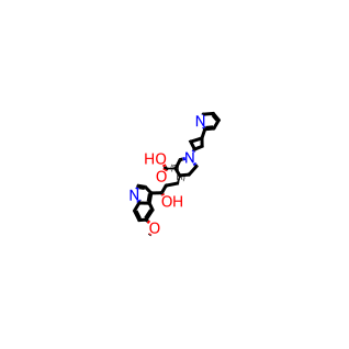 COc1ccc2nccc(C(O)CC[C@@H]3CCN(C4CC(c5ccccn5)C4)C[C@@H]3C(=O)O)c2c1